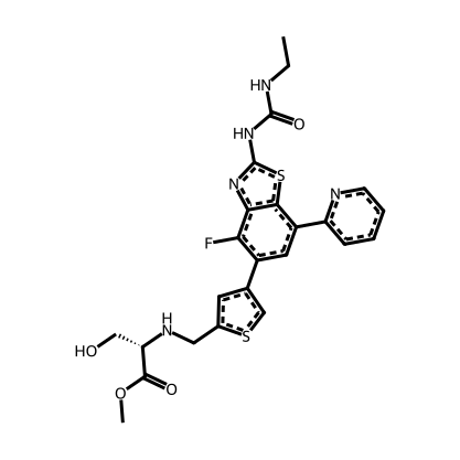 CCNC(=O)Nc1nc2c(F)c(-c3csc(CN[C@@H](CO)C(=O)OC)c3)cc(-c3ccccn3)c2s1